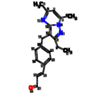 CCc1nn2c(C)cc(C)nc2c1Cc1ccc(C=CC=O)cc1